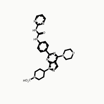 O=C(Nc1ccc(-c2nc(N3CCOCC3)c3cnn(C4CCN(C(=O)O)CC4)c3n2)cc1)Nc1ncccn1